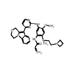 C=CC(=O)Nc1cc(Nc2nccc(-c3c4n(c5ccccc35)CCOC4)n2)c(OC)cc1N(C)CCN1CCC1